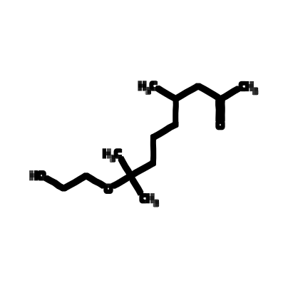 CC(=O)CC(C)CCCC(C)(C)OCCO